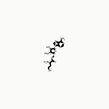 Nc1ncnc2c1ncn2[C@@H]1O[C@H](COC(=O)[C@@H](N)CCS)[C@@H]([SeH])[C@H]1O